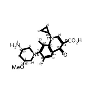 CO[C@H]1C[C@H](N)CN(c2c(F)cc3c(=O)c(C(=O)O)cn(C4CC4)c3c2C)C1